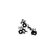 Cc1cc(Nc2cc(OCCCNC3C4CC5CC(C4)CC3C5)cc(C(F)(F)F)c2)c2ccccc2n1